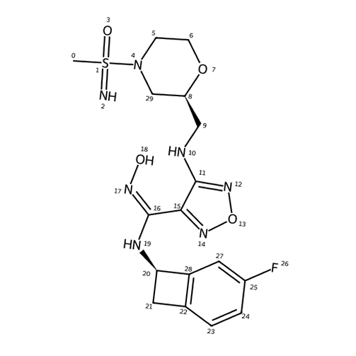 CS(=N)(=O)N1CCO[C@@H](CNc2nonc2/C(=N\O)N[C@@H]2Cc3ccc(F)cc32)C1